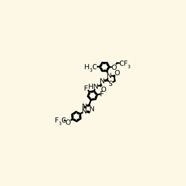 Cc1ccc(OCC(F)(F)F)c(N2C(=O)CS/C2=N\C(=O)Nc2c(F)cc(-c3ncn(-c4ccc(OC(F)(F)F)cc4)n3)cc2F)c1